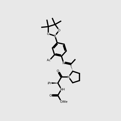 COC(=O)N[C@H](C(=O)N1CCC[C@H]1/C(C)=N/c1ccc(B2OC(C)(C)C(C)(C)O2)cc1C(C)=O)C(C)C